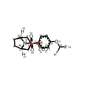 O=C(O)N[C@@H]1C[C@H]2CC[C@@H](C1)N2S(=O)(=O)c1ccc(OC(F)F)cc1